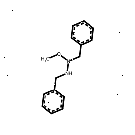 CON(Cc1ccccc1)NCc1ccccc1